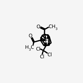 CC(=O)[C]12[CH]3[CH]4[CH]5[CH]1[Fe]45321678[CH]2[CH]1[C]6(C(Cl)(Cl)Cl)[CH]7[C]28C(C)=O